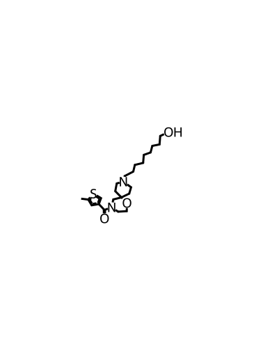 Cc1cc(C(=O)N2CCOC3(CCN(CCCCCCCCCO)CC3)C2)cs1